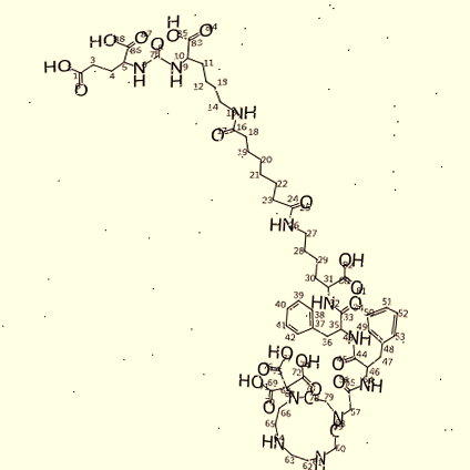 O=C(O)CCC(NC(=O)NC(CCCCNC(=O)CCCCCCC(=O)NCCCCC(NC(=O)C(Cc1ccccc1)NC(=O)C(Cc1ccccc1)NC(=O)CN1CCNCCNCCN(C(C(=O)O)(C(=O)O)C(=O)O)CC1)C(=O)O)C(=O)O)C(=O)O